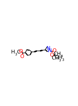 COC(=O)c1ccc(C#CC#Cc2cnn(C(=O)OC(C)(C)C)c2)cc1